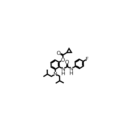 CC(C)CN(CC(C)C)c1cccc(OC(=O)C2CC2)c1NC(=O)Nc1ccc(F)cc1